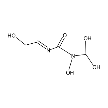 O=C(N=CCO)N(O)C(O)O